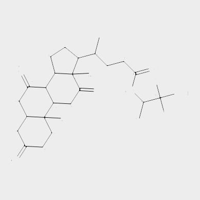 CC(CCC(=O)OC(C)C(F)(F)S(=O)(=O)O)C1CCC2C3C(=O)CC4CC(=O)CCC4(C)C3CC(=O)C12C